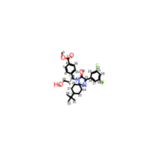 COC(=O)c1ccc([C@@H](CCO)N2C(=O)C(c3cc(F)cc(F)c3)=NC23CCC(C(C)(C)C)CC3)cc1